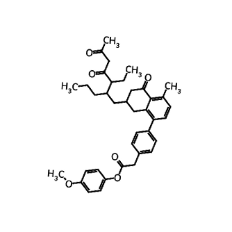 CCCC(CC1CC(=O)c2c(C)ccc(-c3ccc(CC(=O)Oc4ccc(OC)cc4)cc3)c2C1)C(CC)C(=O)CC(C)=O